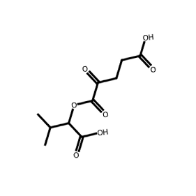 CC(C)C(OC(=O)C(=O)CCC(=O)O)C(=O)O